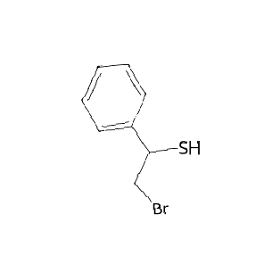 SC(CBr)c1ccccc1